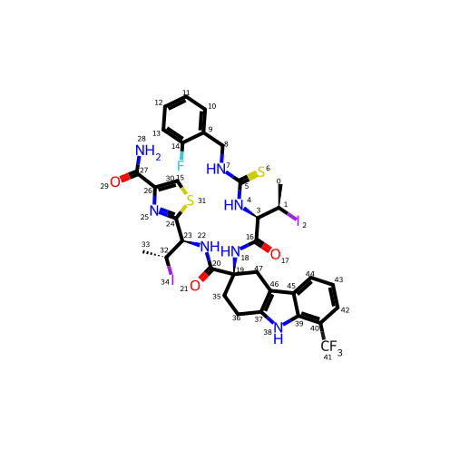 C[C@@H](I)[C@H](NC(=S)NCc1ccccc1F)C(=O)N[C@]1(C(=O)N[C@H](c2nc(C(N)=O)cs2)[C@@H](C)I)CCc2[nH]c3c(C(F)(F)F)cccc3c2C1